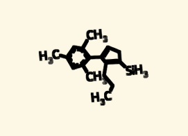 CCCC1=C([SiH3])CC=C1c1c(C)cc(C)cc1C